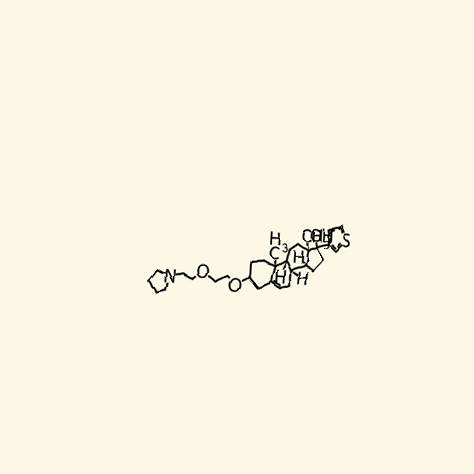 C[C@]12CCC(OCCOCCN3CCCC3)CC1=CC[C@@H]1[C@H]2CC[C@@]2(C)[C@H]1CCC2(O)c1ccsc1